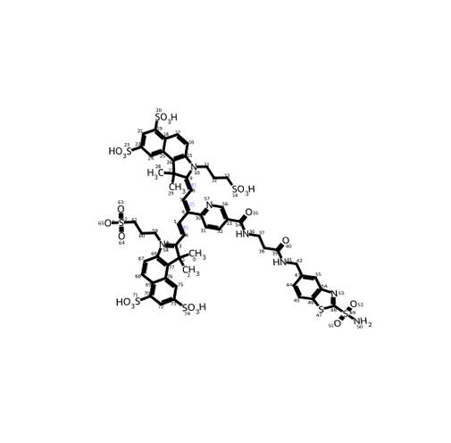 CC1(C)C(/C=C/C(=C/C=C2/N(CCCS(=O)(=O)O)c3ccc4c(S(=O)(=O)O)cc(S(=O)(=O)O)cc4c3C2(C)C)c2ccc(C(=O)NCCC(=O)NCc3ccc4sc(S(N)(=O)=O)nc4c3)cn2)=[N+](CCCS(=O)(=O)[O-])c2ccc3c(S(=O)(=O)O)cc(S(=O)(=O)O)cc3c21